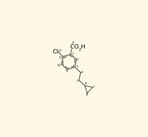 O=C(O)c1cc(CCC2CC2)ccc1Cl